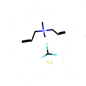 C=CC[N+](C)(C)CC=C.FC(F)F.S